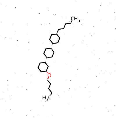 CCCCCO[C@@H]1CCC[C@H](C2CCC([C@H]3CC[C@H](CCCCC)CC3)CC2)C1